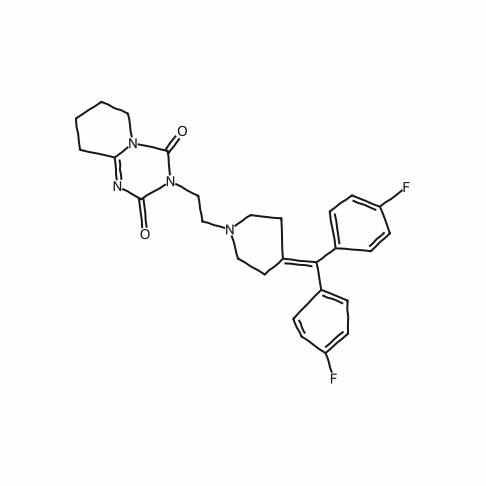 O=c1nc2n(c(=O)n1CCN1CCC(=C(c3ccc(F)cc3)c3ccc(F)cc3)CC1)CCCC2